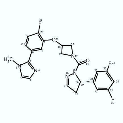 Cn1ccnc1-c1cc(OC2CN(C(=O)N3N=CC[C@H]3c3cc(F)cc(F)c3)C2)c(F)cn1